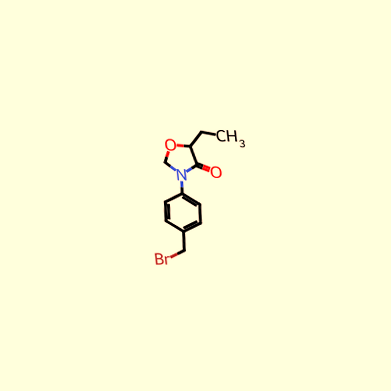 CCC1OCN(c2ccc(CBr)cc2)C1=O